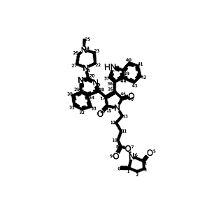 C=C1CCC(=O)N1OC(=O)CCCCN1C(=O)C(c2nc(N3CCN(C)CC3)nc3ccccc23)=C(c2c[nH]c3ccccc23)C1=O